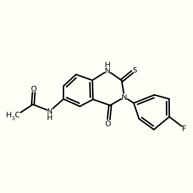 CC(=O)Nc1ccc2[nH]c(=S)n(-c3ccc(F)cc3)c(=O)c2c1